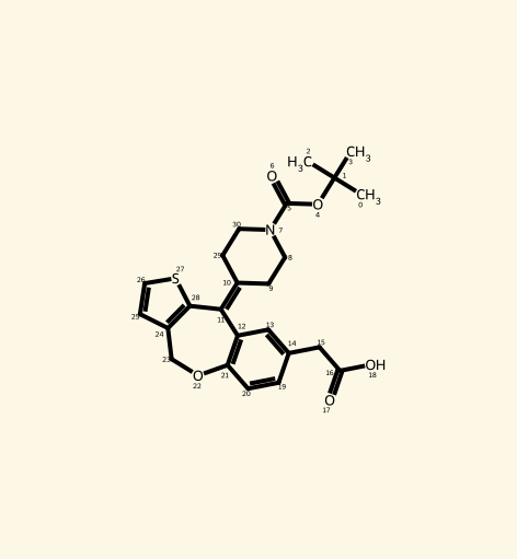 CC(C)(C)OC(=O)N1CCC(=C2c3cc(CC(=O)O)ccc3OCc3ccsc32)CC1